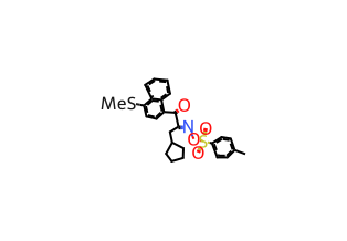 CSc1ccc(C(=O)/C(CC2CCCC2)=N/OS(=O)(=O)c2ccc(C)cc2)c2ccccc12